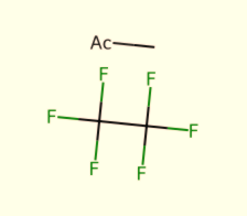 CC(C)=O.FC(F)(F)C(F)(F)F